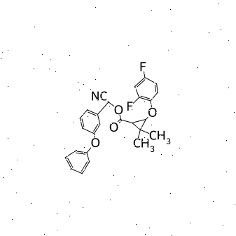 CC1(C)C(Oc2ccc(F)cc2F)C1C(=O)OC(C#N)c1cccc(Oc2ccccc2)c1